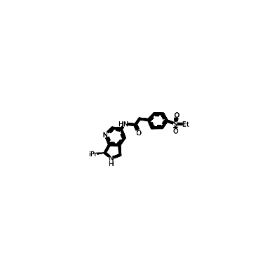 CCS(=O)(=O)c1ccc(CC(=O)Nc2cnc3c(c2)CN[C@H]3C(C)C)cc1